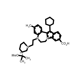 COC(C)(C)[C@@H]1CCCN(CCN2CCn3c(c(C4CCCCC4)c4ccc(C(=O)O)cc43)-c3ccc(C)cc32)C1